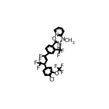 CN(NC(=O)c1ccc(/C(F)=C/C(c2ccc(Cl)c(OC(F)(F)F)c2)C(F)(F)F)cc1C(F)(F)F)c1ccccn1